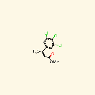 COC(=O)/C=C(\c1cc(Cl)c(Cl)c(Cl)c1)C(F)(F)F